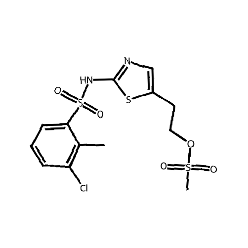 Cc1c(Cl)cccc1S(=O)(=O)Nc1ncc(CCOS(C)(=O)=O)s1